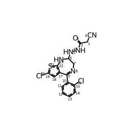 N#CCC(=O)NNC1CN=C(c2ccccc2Cl)c2cc(Cl)sc2N1